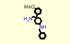 COc1cccc(C2(CN)CCC(NCc3ccccc3)CC2)c1